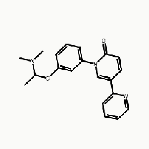 CC(Oc1cccc(-n2cc(-c3ccccn3)ccc2=O)c1)N(C)C